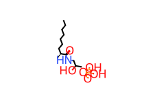 CCCCCCC[C@H](C)C(=O)NCC(O)COP(=O)(O)O